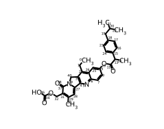 CCc1c2c(nc3ccc(OC(=O)C(C)c4ccc(CC(C)C)cc4)cc13)-c1cc(C)c(COC(=O)O)c(=O)n1C2